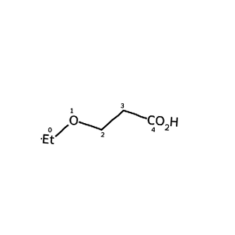 C[CH]OCCC(=O)O